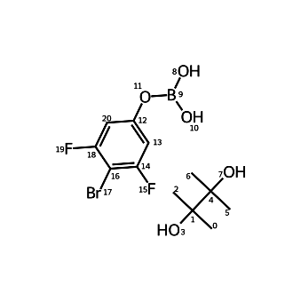 CC(C)(O)C(C)(C)O.OB(O)Oc1cc(F)c(Br)c(F)c1